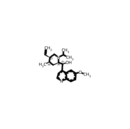 C=C[C@H]1CN(C(C)C)[C@@H]([C@@H](O)c2ccnc3ccc(OC)cc23)C[C@H]1C